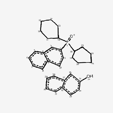 O=P(c1[c]c2ccccc2cc1)(C1CCCCC1)C1CCCCC1.Oc1[c]c2ccccc2cc1